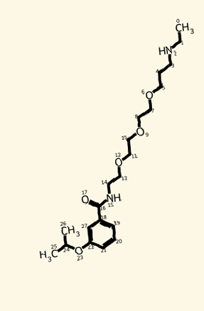 CCNCCCOCCOCCOCCNC(=O)c1cccc(OC(C)C)c1